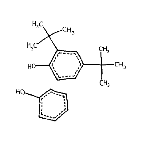 CC(C)(C)c1ccc(O)c(C(C)(C)C)c1.Oc1ccccc1